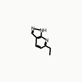 CCc1ccc2cn[nH]c2n1